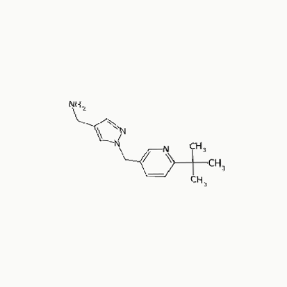 CC(C)(C)c1ccc(Cn2cc(CN)cn2)cn1